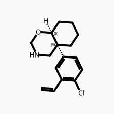 C=Cc1cc([C@@]23CCCC[C@@H]2OCNC3)ccc1Cl